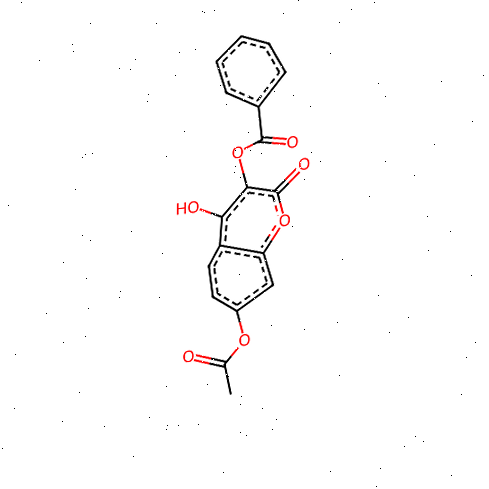 CC(=O)Oc1ccc2c(O)c(OC(=O)c3ccccc3)c(=O)oc2c1